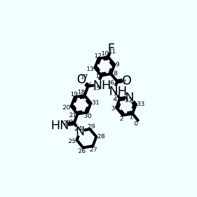 Cc1ccc(NC(=O)c2cc(F)ccc2NC(=O)c2ccc(C(=N)N3CCCCC3)cc2)nc1